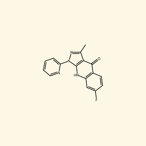 Cc1nn(-c2ccccn2)c2[nH]c3cc(F)ccc3c(=O)c12